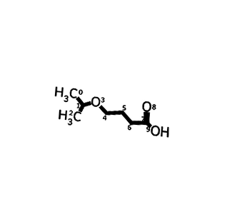 CC(C)OCCCC(=O)O